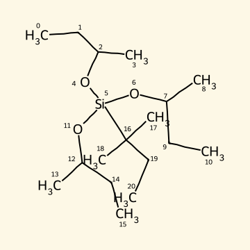 CCC(C)O[Si](OC(C)CC)(OC(C)CC)C(C)(C)CC